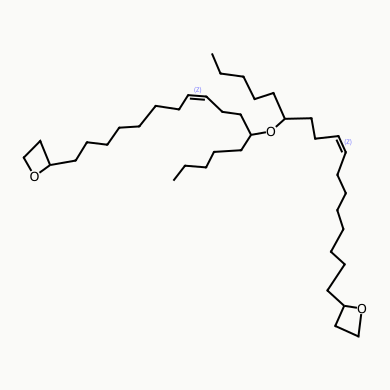 CCCCCC(CC/C=C\CCCCCCCC1CCO1)OC(CC/C=C\CCCCCCCC1CCO1)CCCCC